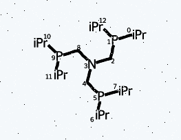 CC(C)P(CN(CP(C(C)C)C(C)C)CP(C(C)C)C(C)C)C(C)C